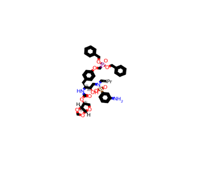 CC(C)CN(C[C@@H](O)[C@H](Cc1ccc(OCP(=O)(OCc2ccccc2)OCc2ccccc2)cc1)NC(=O)O[C@H]1CO[C@H]2OCO[C@H]21)S(=O)(=O)c1cccc(N)c1